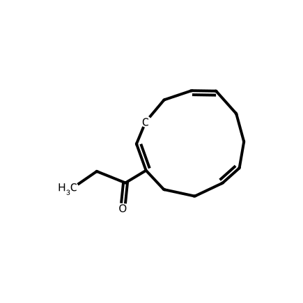 CCC(=O)C1=CCCC=CCCC=CCC1